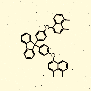 Cc1cccc2c(Oc3ccc(C4(c5ccc(Oc6ccc(C)c7c(C)cccc67)cc5)c5ccccc5-c5ccccc54)cc3)ccc(C)c12